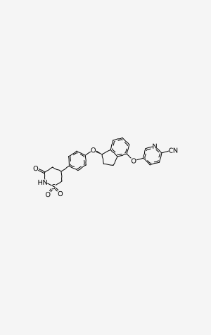 N#Cc1ccc(Oc2cccc3c2CC[C@H]3Oc2ccc(C3CC(=O)NS(=O)(=O)C3)cc2)cn1